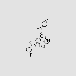 CN1CCC(NCCOc2ccc(NC(=O)c3cccc(F)c3)cc2-c2c(Cl)cnn2C)CC1